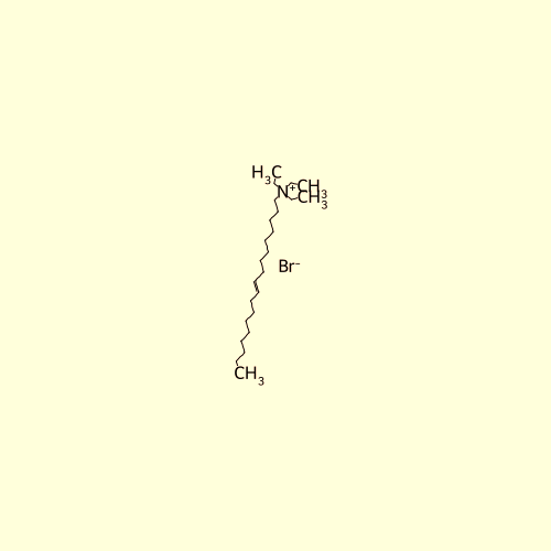 CCCCCCCCC=CCCCCCCCC[N+](CC)(CC)CC.[Br-]